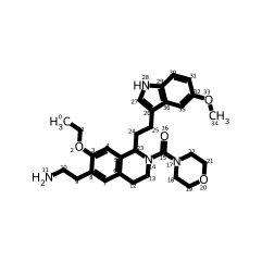 CCOc1cc2c(cc1CCN)CCN(C(=O)N1CCOCC1)C2CCc1c[nH]c2ccc(OC)cc12